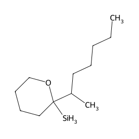 CCCCCC(C)C1([SiH3])CCCCO1